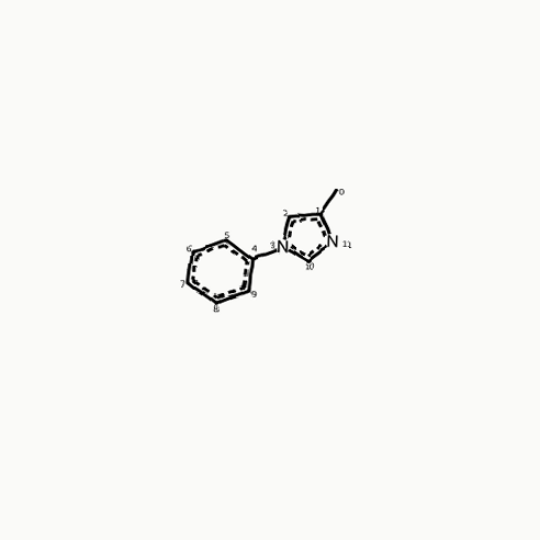 Cc1cn(-c2ccccc2)cn1